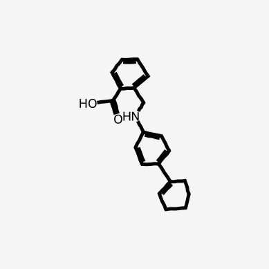 O=C(O)c1ccccc1CNc1ccc(C2=CCCCC2)cc1